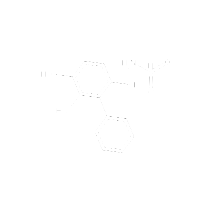 Cc1ccc(C(F)(F)F)c(-c2ccccc2)c1C.N[SH](=O)=O